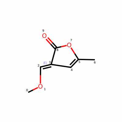 CO/C=C1\C=C(C)OC1=O